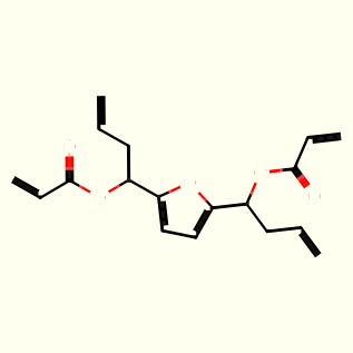 C=CCC(OC(=O)C=C)c1ccc(C(CC=C)OC(=O)C=C)o1